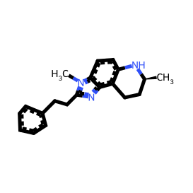 C[C@H]1CCc2c(ccc3c2nc(CCc2ccccc2)n3C)N1